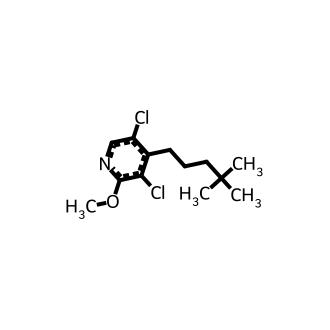 COc1ncc(Cl)c(CCCC(C)(C)C)c1Cl